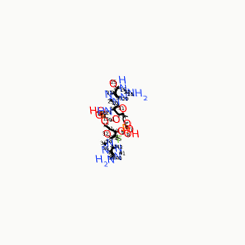 COC1C2COP(=O)(O)OC3C(COP(=O)(O)NC1C(n1cnc4c(=O)[nH]c(N)nc41)O2)OC(n1cnc2c(N)ncnc21)C3F